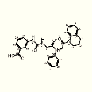 O=C(NCC(=O)N(CC(=O)N1CCCc2ccccc21)c1ccccc1)Nc1cccc(C(=O)O)c1